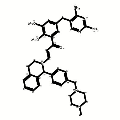 COc1cc(Cc2cnc(N)nc2N)cc(C(=O)/C=C/N2CCc3ccccc3C2c2ccc(CN3CCN(C)CC3)cc2)c1OC